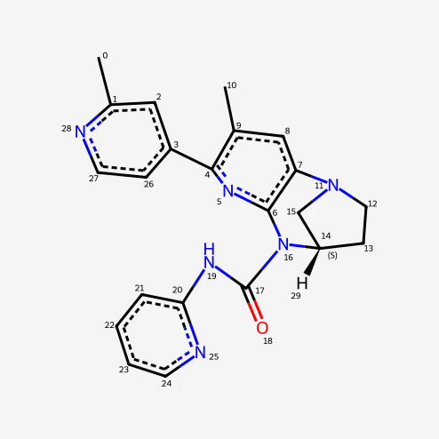 Cc1cc(-c2nc3c(cc2C)N2CC[C@@H](C2)N3C(=O)Nc2ccccn2)ccn1